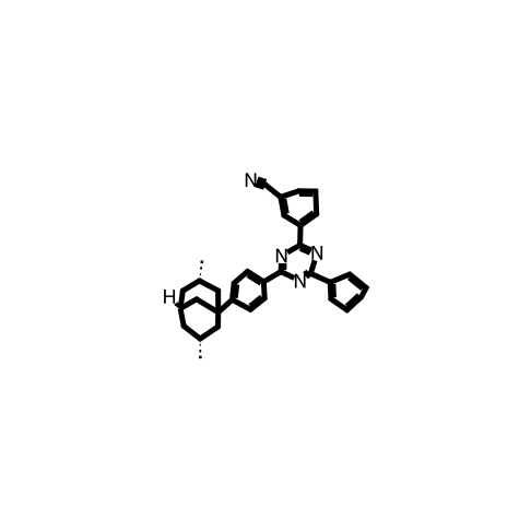 C[C@@H]1C[C@@H]2C[C@H](C)CC(c3ccc(-c4nc(-c5ccccc5)nc(-c5cccc(C#N)c5)n4)cc3)(C1)C2